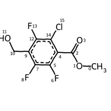 COC(=O)c1c(F)c(F)c(CO)c(F)c1Cl